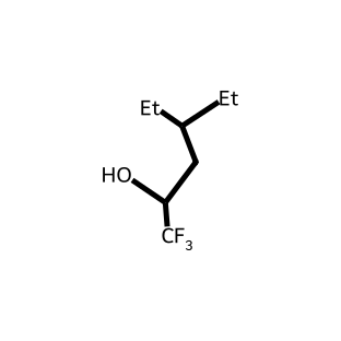 CCC(CC)CC(O)C(F)(F)F